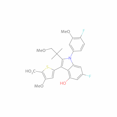 COCC(C)(C)c1c(-c2cc(OC)c(C(=O)O)s2)c2c(O)cc(F)cc2n1-c1ccc(F)c(OC)c1